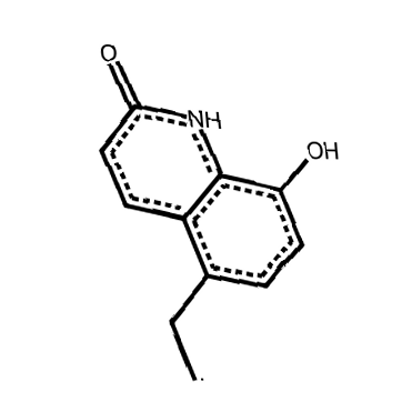 [CH2]Cc1ccc(O)c2[nH]c(=O)ccc12